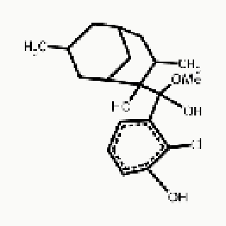 COC(O)(c1cccc(O)c1Cl)C1(O)C(C)CC2CC(C)CC1C2